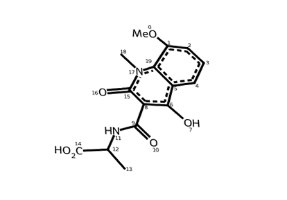 COc1cccc2c(O)c(C(=O)NC(C)C(=O)O)c(=O)n(C)c12